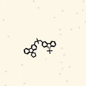 CC(C)(Cc1ccc2c(c1)-c1ccccc1C21CCCC1)Cc1ccc2c(c1)c1ccccc1n2C(C)(C)C